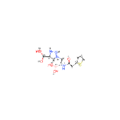 O=C(Cc1cccs1)N[C@H](Cn1cc(C(=O)O)nn1)B(O)O